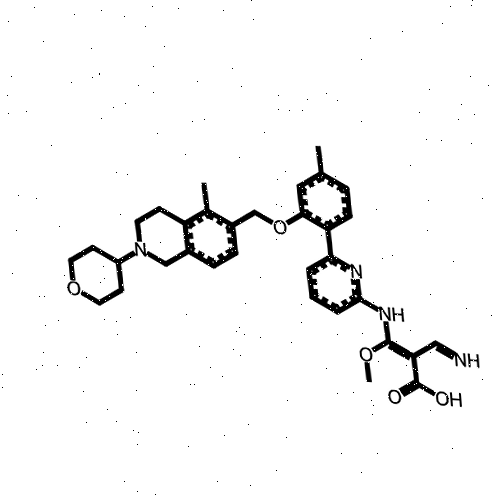 CO/C(Nc1cccc(-c2ccc(C)cc2OCc2ccc3c(c2C)CCN(C2CCOCC2)C3)n1)=C(/C=N)C(=O)O